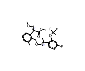 CO/N=C(/C(=O)OC)c1cccc(C)c1CO/N=C(\C)c1ccc(F)cc1OC(F)(F)F